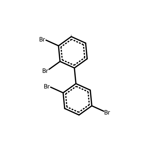 Brc1ccc(Br)c(-c2cc[c]c(Br)c2Br)c1